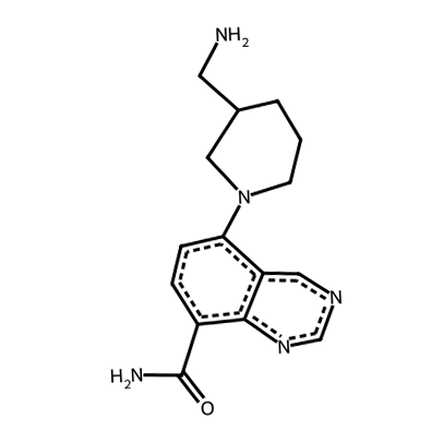 NCC1CCCN(c2ccc(C(N)=O)c3ncncc23)C1